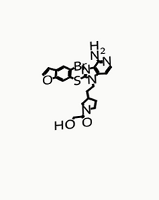 Nc1nccc2c1nc(Sc1cc3occc3cc1Br)n2CCC1CCN(C(=O)CO)C1